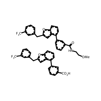 COCCNC(=O)c1cccc(-c2cccc3oc(Cc4cccc(C(F)(F)F)c4)cc23)c1.O=C(O)c1cccc(-c2cccc3oc(Cc4cccc(C(F)(F)F)c4)cc23)c1